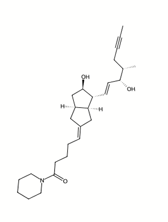 CC#CC[C@H](C)[C@H](O)/C=C/[C@@H]1[C@H]2C/C(=C/CCCC(=O)N3CCCCC3)C[C@H]2C[C@H]1O